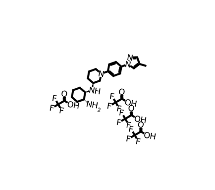 Cc1cnn(-c2ccc(N3CCC[C@H](N[C@@H]4CCCC[C@H]4N)C3)cc2)c1.O=C(O)C(F)(F)F.O=C(O)C(F)(F)F.O=C(O)C(F)(F)F.O=C(O)C(F)(F)F